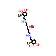 Br.CCc1c(CCNCCCCCCCNCCc2ccc(O)c(O)c2CC)ccc(O)c1O.O